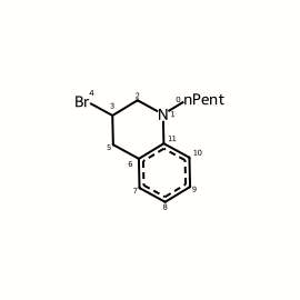 CCCCCN1CC(Br)Cc2ccccc21